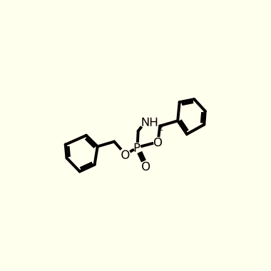 NCP(=O)(OCc1ccccc1)OCc1ccccc1